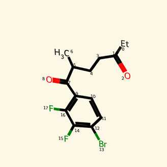 CCC(=O)CCC(C)C(=O)c1ccc(Br)c(F)c1F